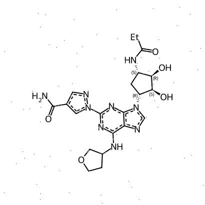 CCC(=O)N[C@H]1C[C@@H](n2cnc3c(NC4CCOC4)nc(-n4cc(C(N)=O)cn4)nc32)[C@H](O)[C@@H]1O